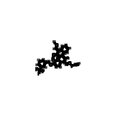 C#CCO/N=C(\C(C)=C(/ON)c1ccccc1/C(=C\OC)C(=O)OC)c1ccc(OCc2cccc(C(F)(F)F)c2)cc1